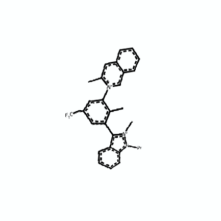 Cc1c(-c2c3ccccc3n(C(C)C)[n+]2C)cc(C(F)(F)F)cc1-[n+]1cc2ccccc2cc1C